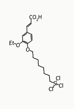 CCOc1cc(C=CC(=O)O)ccc1OCCCCCCCC[Si](Cl)(Cl)Cl